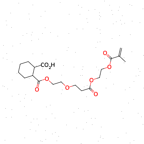 C=C(C)C(=O)OCCOC(=O)CCOCCOC(=O)C1CCCCC1C(=O)O